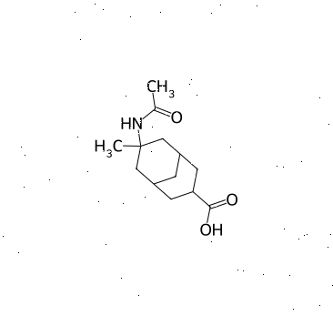 CC(=O)NC1(C)CC2CC(CC(C(=O)O)C2)C1